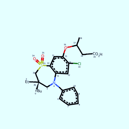 CCCC[C@]1(CC)CN(c2ccccc2)c2cc(Cl)c(OC(C)CC(=O)O)cc2S(=O)(=O)C1